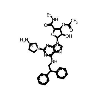 CCNC(=O)C1OC(n2cnc3c(NCC(c4ccccc4)c4ccccc4)nc(N4CC[C@@H](N)C4)nc32)C(O)C1OC(=O)C(F)(F)F